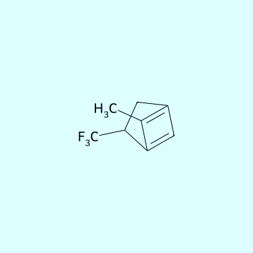 CC1=C2C=C1C(C(F)(F)F)C2